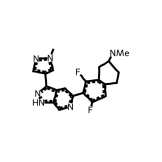 CNC1CCc2cc(F)c(-c3cc4c(-c5cnn(C)c5)n[nH]c4cn3)c(F)c2C1